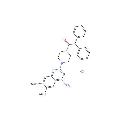 COc1cc2nc(N3CCN(C(=O)C(c4ccccc4)c4ccccc4)CC3)nc(N)c2cc1OC.Cl